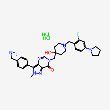 Cl.Cl.Cn1nc2c(=O)n(CC3(O)CCN(Cc4ccc(N5CCCC5)cc4F)CC3)cnc2c1-c1ccc(CN)cc1